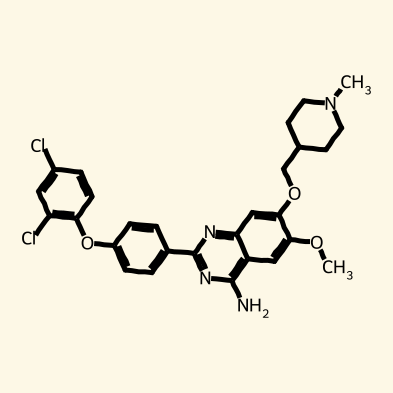 COc1cc2c(N)nc(-c3ccc(Oc4ccc(Cl)cc4Cl)cc3)nc2cc1OCC1CCN(C)CC1